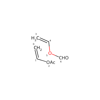 C=COC(C)=O.C=COC=O